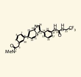 CNC(=O)Cc1cccc(-c2ccn3c(-c4cccc(NC(=O)NCC(F)(F)F)c4)cnc3c2)c1